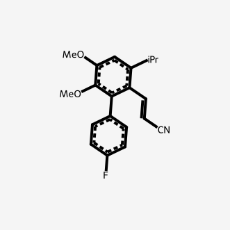 COc1cc(C(C)C)c(/C=C/C#N)c(-c2ccc(F)cc2)c1OC